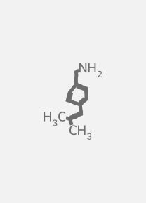 CC(C)=Cc1ccc(CN)cc1